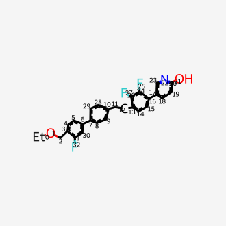 CCOCc1ccc(-c2ccc(CCc3ccc(-c4ccc(O)nc4)c(F)c3F)cc2)cc1F